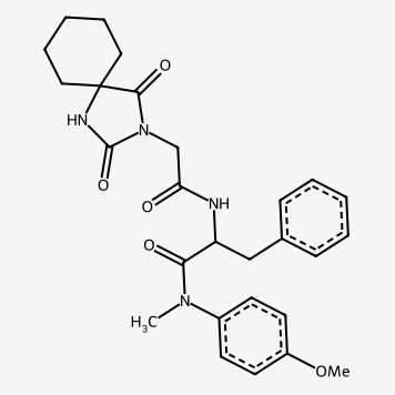 COc1ccc(N(C)C(=O)C(Cc2ccccc2)NC(=O)CN2C(=O)NC3(CCCCC3)C2=O)cc1